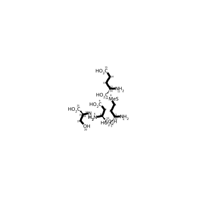 CSCC[C@H](N)C(=O)O.N[C@@H](CC(=O)O)C(=O)O.N[C@@H](CCC(=O)O)C(=O)O.N[C@@H](CO)C(=O)O